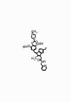 COc1cc(/C=C2/C(C)=C(CC(=O)NCc3ccccn3)c3cc(F)ccc32)cc(OC)c1SC(=O)N1CCN(C)CC1